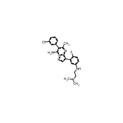 Cc1nc2c(-c3cc(NCCN(C)C)ccc3F)cnn2c(N)c1-c1cccc(Cl)c1